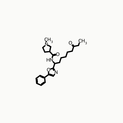 CCC(=O)CCCCCC(NC(=O)C1CCN(C)C1)c1ncc(-c2ccccc2)o1